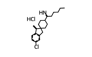 C=C1c2ccc(Cl)cc2CC12CCC(C(=N)CCCCC)CC2.Cl